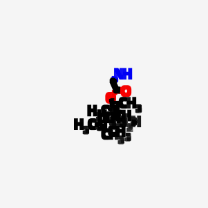 CC(=O)O.C[SiH](C)C.C[Si](C)(C)OC(=O)C=N